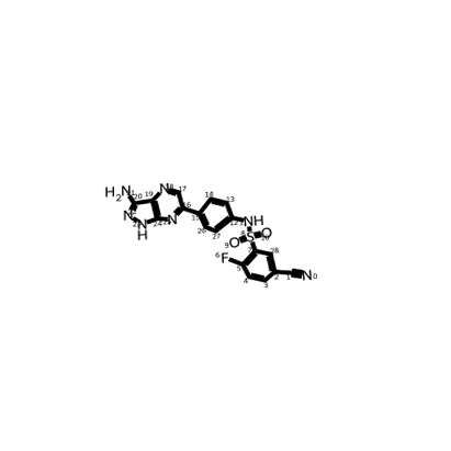 N#Cc1ccc(F)c(S(=O)(=O)Nc2ccc(-c3cnc4c(N)n[nH]c4n3)cc2)c1